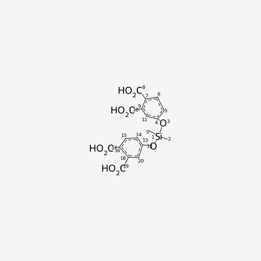 C[Si](C)(Oc1ccc(C(=O)O)c(C(=O)O)c1)Oc1ccc(C(=O)O)c(C(=O)O)c1